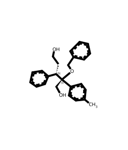 Cc1ccc([C@@](CO)(OCc2ccccc2)[C@@H](CCO)c2ccccc2)cc1